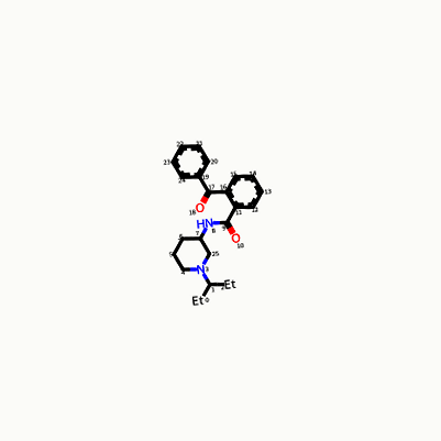 CCC(CC)N1CC[CH]C(NC(=O)c2ccccc2C(=O)c2ccccc2)C1